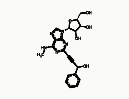 CNc1nc(C#CC(O)c2ccccc2)nc2c1ncn2[C@@H]1O[C@H](CO)[C@@H](O)[C@H]1O